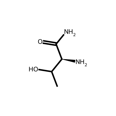 CC(O)[C@H](N)C(N)=O